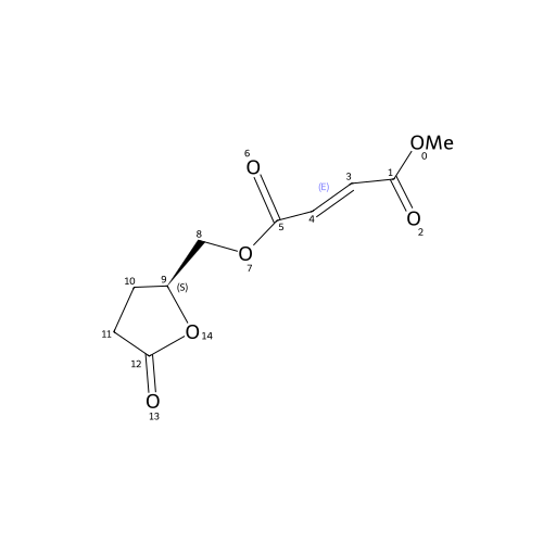 COC(=O)/C=C/C(=O)OC[C@@H]1CCC(=O)O1